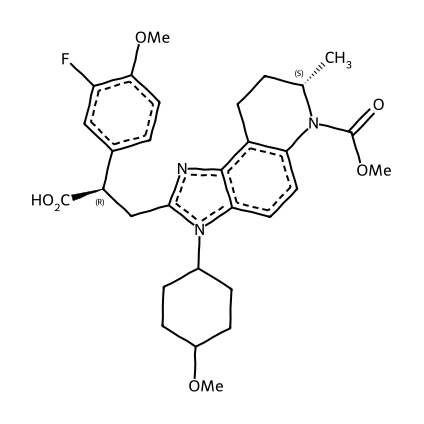 COC(=O)N1c2ccc3c(nc(C[C@@H](C(=O)O)c4ccc(OC)c(F)c4)n3C3CCC(OC)CC3)c2CC[C@@H]1C